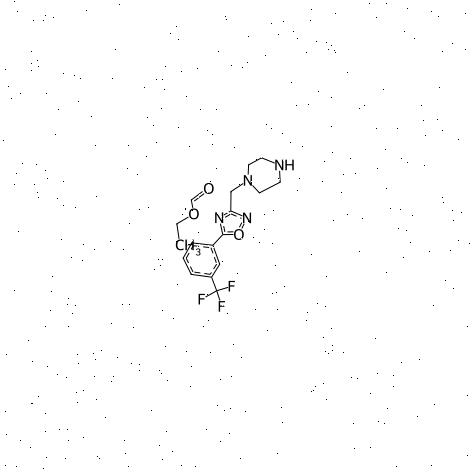 CCOC=O.FC(F)(F)c1cccc(-c2nc(CN3CCNCC3)no2)c1